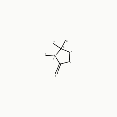 CN1C(=O)CCC1(C)C